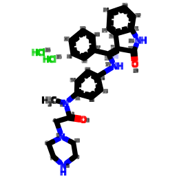 CN(C(=O)CN1CCNCC1)c1ccc(N/C(=C2\C(=O)Nc3ccccc32)c2ccccc2)cc1.Cl.Cl